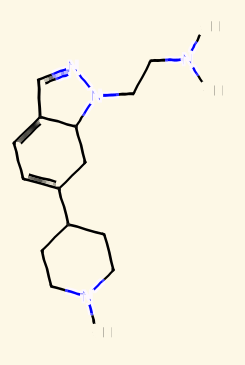 CN(C)CCN1N=CC2=CC=C(C3CCN(C)CC3)CC21